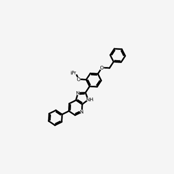 CC(C)Oc1cc(OCc2ccccc2)ccc1-c1nc2cc(-c3ccccc3)cnc2[nH]1